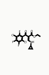 CCOC(=O)C(=CNC1CC1)C(=O)c1c(F)c(Cl)c(F)c(F)c1Cl